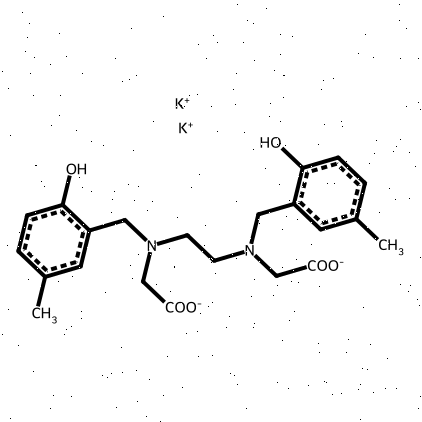 Cc1ccc(O)c(CN(CCN(CC(=O)[O-])Cc2cc(C)ccc2O)CC(=O)[O-])c1.[K+].[K+]